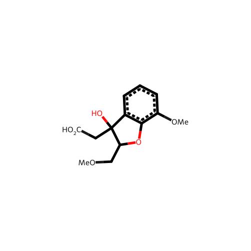 COCC1Oc2c(OC)cccc2C1(O)CC(=O)O